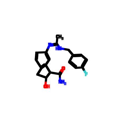 CC(=Nc1ccc2c(c1)C(C(N)=O)C(O)C2)NCc1ccc(F)cc1